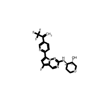 C=C(c1ccc(-c2cc(F)c3cnc(N[C@@H]4CCOC[C@H]4O)nn23)nc1)C(F)(F)F